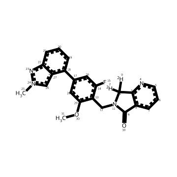 [2H]C1([2H])c2ncccc2C(=O)N1Cc1c(F)cc(-c2cccc3nn(C)cc23)cc1OC